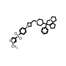 Cn1cc(S(=O)(=O)c2ccc(N3CC(CN4CCC(C(CN5CCCC5)(C5=CCCC5)c5ccccc5)CC4)C3)cc2)cn1